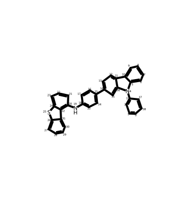 c1ccc(-n2c3ccccc3c3ccc(-c4ccc(Nc5cccc6sc7ccccc7c56)cc4)cc32)cc1